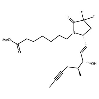 CC#CC[C@H](C)[C@@H](O)C=C[C@H]1CC(F)(F)C(=O)N1CCCCCCC(=O)OC